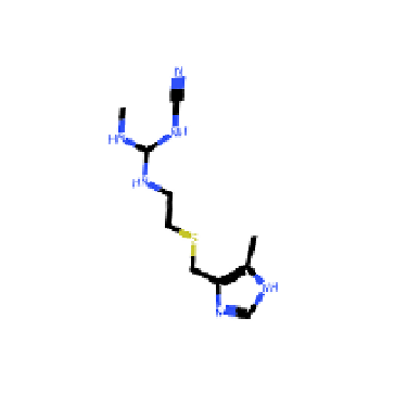 CNC(NC#N)NCCSCc1nc[nH]c1C